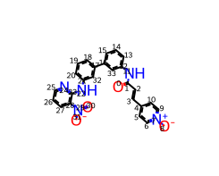 O=C(C=Cc1cc[n+]([O-])cc1)Nc1cccc(-c2cccc(Nc3ncccc3[N+](=O)[O-])c2)c1